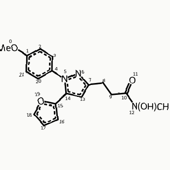 COc1ccc(-n2nc(CCC(=O)N(C)O)cc2-c2ccco2)cc1